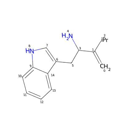 C=C(C(C)C)C(N)Cc1c[nH]c2ccccc12